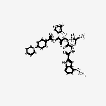 COc1cccc2[nH]c(C(=O)N[C@@H](CC(C)C)C(=O)N[C@@H](C[C@@H]3CCNC3=O)C(=O)COC(=O)C3CCC(N4CCCCC4)CC3)cc12